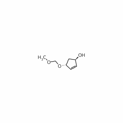 COCO[C@H]1C=C[C@H](O)C1